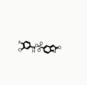 O=C1C=c2cc(S(=O)(=O)ONc3ccc(F)c(Cl)c3)ccc2=N1